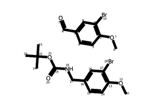 COc1ccc(C=O)cc1Br.COc1ccc(CNC(=O)OC(C)(C)C)cc1Br